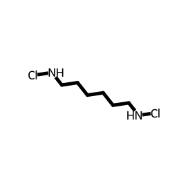 ClNCCCCCCNCl